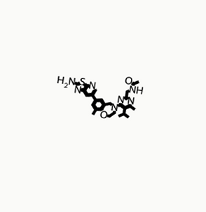 CC(=O)NCc1nc(C)c(C(C)C)c(N2CCOc3c(C)cc(-c4cnc5sc(N)nc5c4)cc3C2)n1